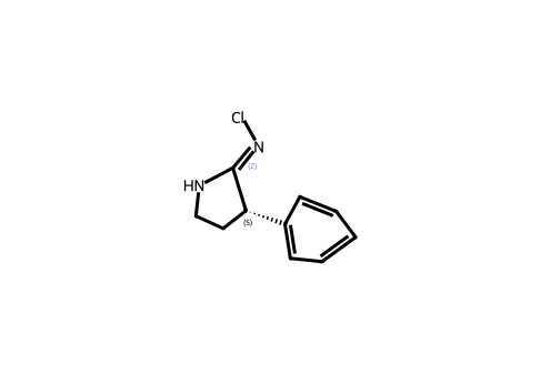 Cl/N=C1\NCC[C@H]1c1ccccc1